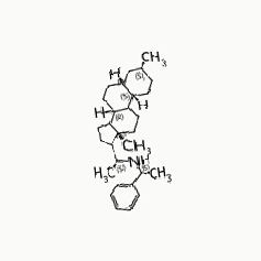 C[C@H]1CC[C@@H]2C3CC[C@@]4(C)C(CCC4[C@H](C)N[C@@H](C)c4ccccc4)[C@@H]3CC[C@@H]2C1